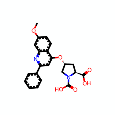 COc1ccc2c(O[C@@H]3C[C@@H](C(=O)O)N(C(=O)O)C3)cc(-c3ccccc3)nc2c1